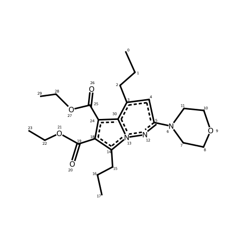 CCCc1cc(N2CCOCC2)nn2c(CCC)c(C(=O)OCC)c(C(=O)OCC)c12